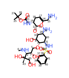 CN[C@H]([C@@H](O)CO[C@@H]1[C@@H](O)[C@H](O[C@H]2OC(CN)=CC[C@H]2NC(=O)OC(C)(C)C)[C@@H](N)C[C@H]1NS(=O)(=O)c1ccccc1)[C@@](C)(O)CO